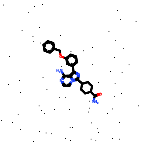 NC(=O)C1CCC(c2nc(-c3cccc(OCc4ccccc4)c3)c3c(N)nccn23)CC1